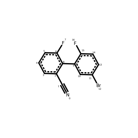 N#Cc1cccc(F)c1-c1cc(Br)ccc1F